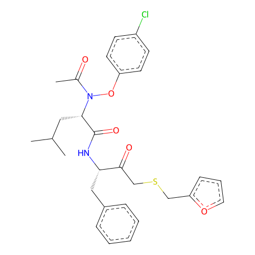 CC(=O)N(Oc1ccc(Cl)cc1)[C@@H](CC(C)C)C(=O)N[C@@H](Cc1ccccc1)C(=O)CSCc1ccco1